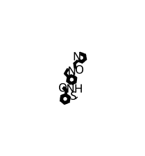 CSc1ccccc1C(=O)Nc1ccc2c(c1)CCN2C(=O)Cc1ccccn1